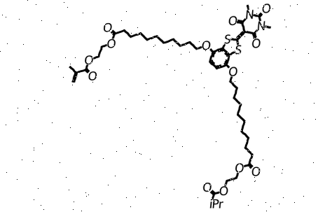 C=C(C)C(=O)OCCOC(=O)CCCCCCCCCCOc1ccc(OCCCCCCCCCCC(=O)OCCOC(=O)C(C)C)c2c1SC(=C1C(=O)N(C)C(=O)N(C)C1=O)S2